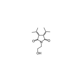 CC(C)=C1C(=O)N(CCO)C(=O)C1=C(C)C